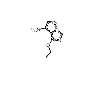 CCOn1ncn2ncc(N)c12